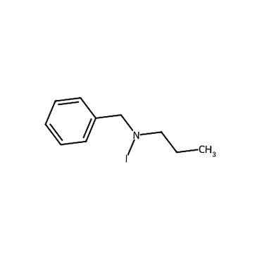 CCCN(I)Cc1ccccc1